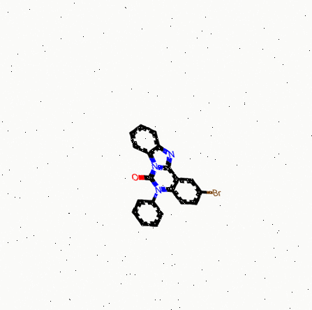 O=c1n(-c2ccccc2)c2ccc(Br)cc2c2nc3ccccc3n12